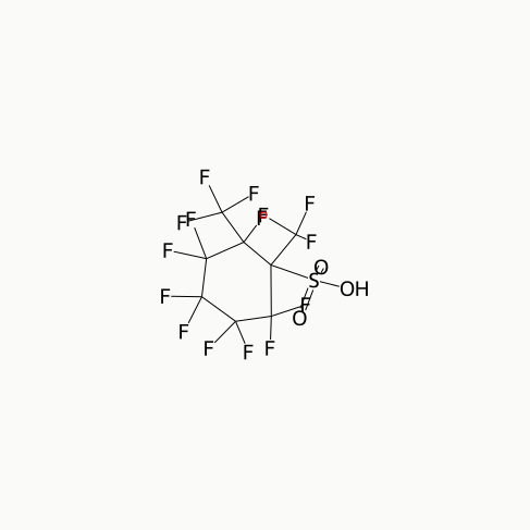 O=S(=O)(O)C1(C(F)(F)F)C(F)(F)C(F)(F)C(F)(F)C(F)(F)C1(F)C(F)(F)F